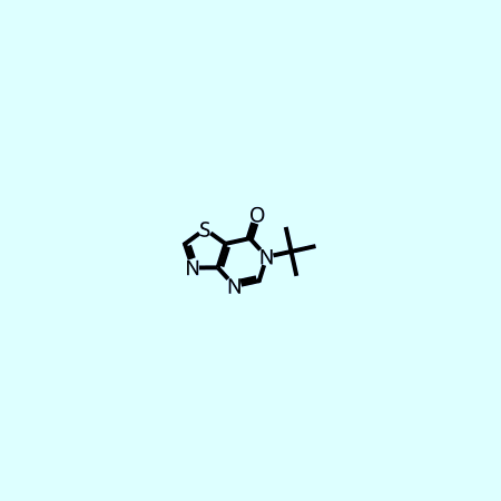 CC(C)(C)n1cnc2ncsc2c1=O